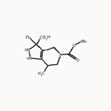 CCC1(C(=O)O)NNC2=C1CN(C(=O)OC(C)(C)C)CC2C